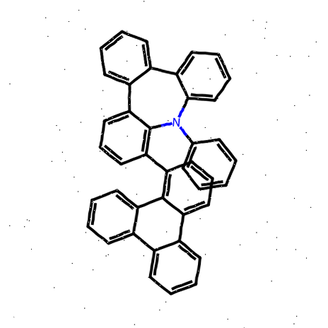 c1ccc(N2c3ccccc3-c3ccccc3-c3cccc(-c4cccc5c6ccccc6c6ccccc6c45)c32)cc1